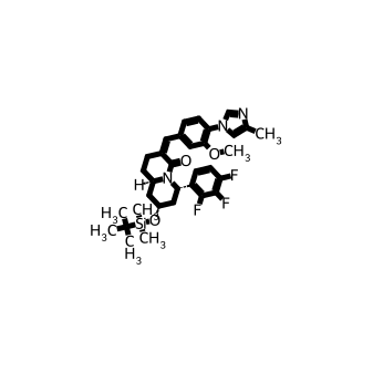 COc1cc(C=C2CC[C@@H]3C[C@@H](O[Si](C)(C)C(C)(C)C)C[C@@H](c4ccc(F)c(F)c4F)N3C2=O)ccc1-n1cnc(C)c1